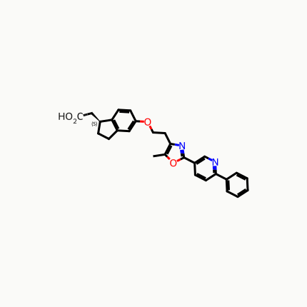 Cc1oc(-c2ccc(-c3ccccc3)nc2)nc1CCOc1ccc2c(c1)CC[C@H]2CC(=O)O